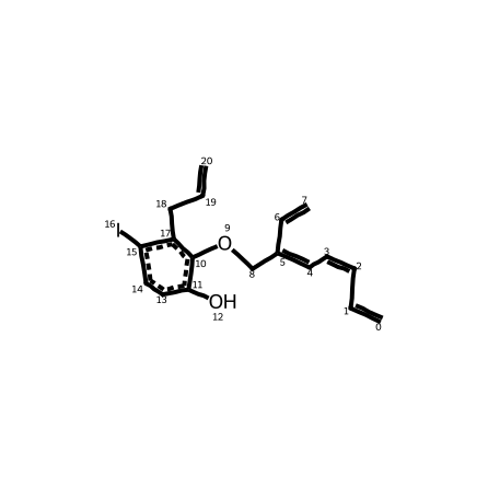 C=C/C=C\C=C(/C=C)COc1c(O)ccc(I)c1CC=C